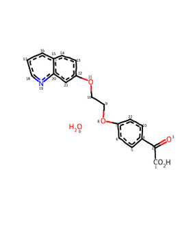 O.O=C(O)C(=O)c1ccc(OCCOc2ccc3cccnc3c2)cc1